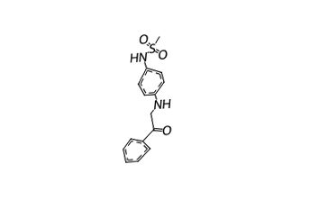 CS(=O)(=O)Nc1ccc(NCC(=O)c2ccccc2)cc1